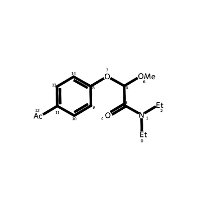 CCN(CC)C(=O)C(OC)Oc1ccc(C(C)=O)cc1